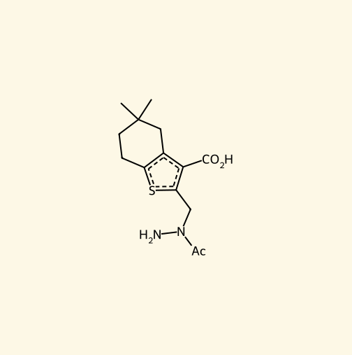 CC(=O)N(N)Cc1sc2c(c1C(=O)O)CC(C)(C)CC2